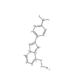 CN(C)c1ccc(-c2cn3nccc(CCF)c3n2)cc1